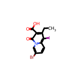 CCc1c(C(=O)O)c(=O)n2cc(Br)ccc2c1I